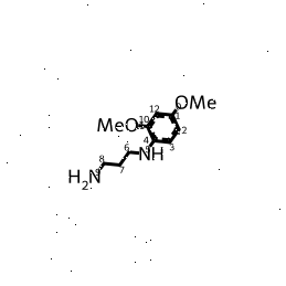 COc1[c]cc(NCCCN)c(OC)c1